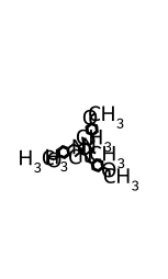 COc1ccc(CN2C(C)N(Cc3ccc(OC)cc3)C(C)N(Cc3ccc(OC)cc3)C2C)cc1